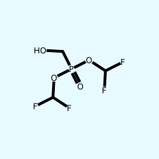 O=P(CO)(OC(F)F)OC(F)F